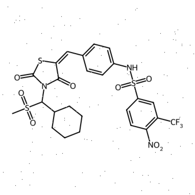 CS(=O)(=O)C(C1CCCCC1)N1C(=O)SC(=Cc2ccc(NS(=O)(=O)c3ccc([N+](=O)[O-])c(C(F)(F)F)c3)cc2)C1=O